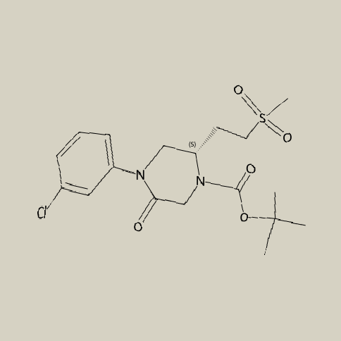 CC(C)(C)OC(=O)N1CC(=O)N(c2cccc(Cl)c2)C[C@@H]1CCS(C)(=O)=O